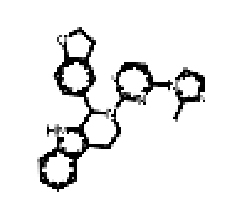 Cc1nccn1-c1ccnc(N2CCc3c([nH]c4ccccc34)C2c2ccc3c(c2)CCO3)n1